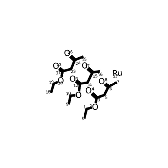 CCOC(=O)CC(C)=O.CCOC(=O)CC(C)=O.CCOC(=O)CC(C)=O.[Ru]